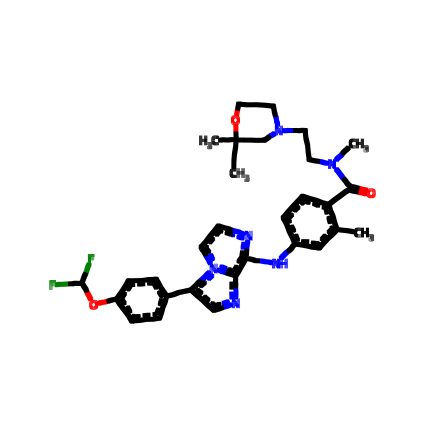 Cc1cc(Nc2nccn3c(-c4ccc(OC(F)F)cc4)cnc23)ccc1C(=O)N(C)CCN1CCOC(C)(C)C1